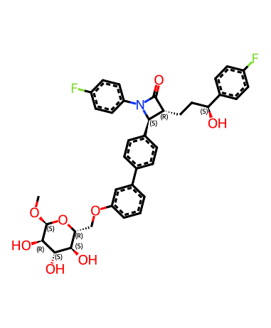 CO[C@H]1O[C@H](COc2cccc(-c3ccc([C@@H]4[C@@H](CC[C@H](O)c5ccc(F)cc5)C(=O)N4c4ccc(F)cc4)cc3)c2)[C@@H](O)[C@H](O)[C@H]1O